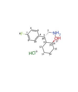 Cl.NC[C@@H](c1ccc(F)cc1)C1CCCC[C@@H]1O